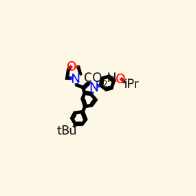 CC(C)Oc1ccc(-n2c(C(=O)O)c(CN3CCOCC3)c3cc(-c4ccc(C(C)(C)C)cc4)ccc32)cc1